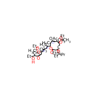 CCOC(C)OC(C)(/C=C/C=C(\C)C1OC(=O)CC(O[Si](CC)(CC)C(C)C)CCC(C)(OC(C)OCC)C(OC(C)=O)/C=C/C1C)CC1OC1C(C)C(O)CC